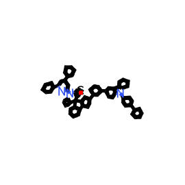 c1ccc(-c2ccc(-n3c4ccccc4c4cc(-c5cccc(-c6ccc7c(c6)C6(c8ccccc8-7)c7ccccc7N(c7cc(-c8ccccc8)cc(-c8ccccc8)n7)c7ccccc76)c5)ccc43)cc2)cc1